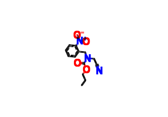 CCCOC(=O)N(CC#N)Cc1ccccc1[N+](=O)[O-]